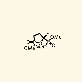 CCC1(P(=O)(OC)OC)CCP(=O)(OC)O1